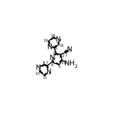 N#Cc1c(N)cc(-c2cnccn2)nc1-c1cnccn1